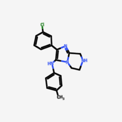 Cc1ccc(Nc2c(-c3cccc(Cl)c3)nc3n2CCNC3)cc1